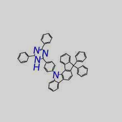 c1ccc(C2=NC(c3ccccc3)NC(c3ccc(-n4c5ccccc5c5ccc6c(c54)-c4ccccc4C6(c4ccccc4)c4ccccc4)cc3)=N2)cc1